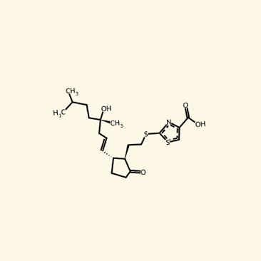 CC(C)CC[C@](C)(O)CC=C[C@H]1CCC(=O)[C@@H]1CCSc1nc(C(=O)O)cs1